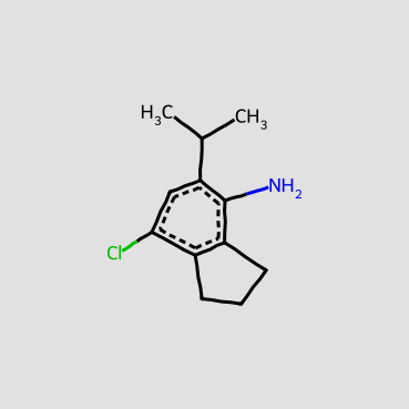 CC(C)c1cc(Cl)c2c(c1N)CCC2